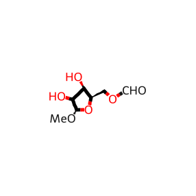 CO[C@H]1O[C@H](COC=O)[C@H](O)C1O